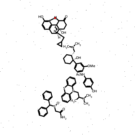 CC(=O)Nc1ccc(O)cc1.CC(CN1c2ccccc2Sc2ccccc21)N(C)C.COc1cccc([C@@]2(O)CCCC[C@@H]2CN(C)C)c1.NC(=O)C[S+]([O-])C(c1ccccc1)c1ccccc1.O=C1CC[C@@]2(O)[C@H]3Cc4ccc(O)c5c4[C@@]2(CCN3CC2CC2)[C@H]1O5